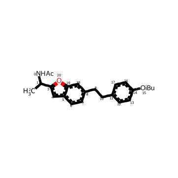 CC(=O)NC(C)c1cc2ccc(CCc3ccc(OCC(C)C)cc3)cc2o1